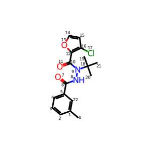 Cc1cccc(C(=O)NN(C(=O)c2occc2Cl)C(C)(C)C)c1